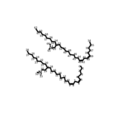 CCCCC/C=C\C/C=C\CCCCCCCCCC(CCCCCCCCC)CCN(C)C.CCCCC/C=C\C/C=C\CCCCCCCCCC(CCCCCCCCC)CN(C)C